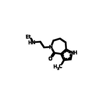 CCNCCN1CCCc2[nH]cc(C)c2C1=O